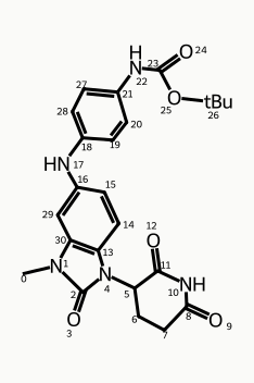 Cn1c(=O)n(C2CCC(=O)NC2=O)c2ccc(Nc3ccc(NC(=O)OC(C)(C)C)cc3)cc21